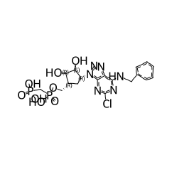 O=P(O)(O)CP(=O)(O)OC[C@H]1C[C@@H](n2nnc3c(NCc4ccccc4)nc(Cl)nc32)[C@H](O)[C@@H]1O